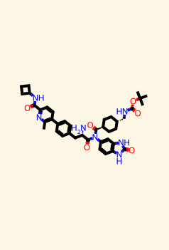 Cc1nc(C(=O)NC2CCC2)ccc1-c1ccc(C[C@H](N)C(=O)N(c2ccc3[nH]c(=O)[nH]c3c2)C(=O)[C@H]2CC[C@H](CNC(=O)OC(C)(C)C)CC2)cc1